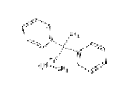 CC(C)(c1ccccc1)c1ccccc1.CN